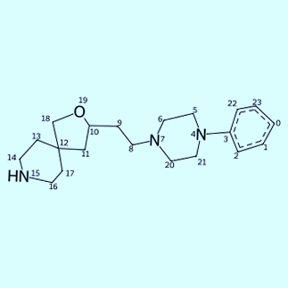 c1ccc(N2CCN(CCC3CC4(CCNCC4)CO3)CC2)cc1